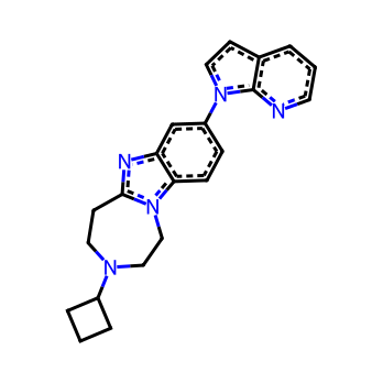 c1cnc2c(c1)ccn2-c1ccc2c(c1)nc1n2CCN(C2CCC2)CC1